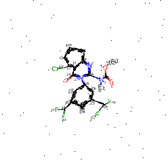 CCN(C(=O)OC(C)(C)C)c1nc2cccc(Cl)c2c(=O)n1-c1cc(C(F)F)cc(C(F)F)c1